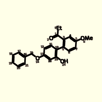 CCC(=O)c1cc(OC)ccc1-c1ccc(OCc2ccccc2)cc1O